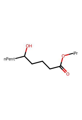 CCCCCC(O)CCCC(=O)OC(C)C